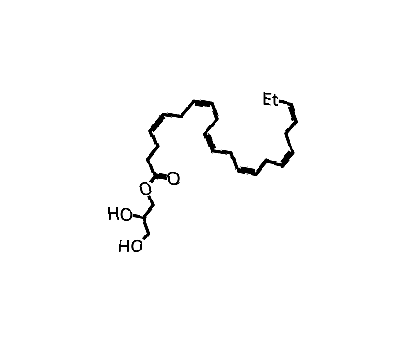 CC/C=C\C/C=C\C/C=C\C/C=C\C/C=C\C/C=C\CCC(=O)OCC(O)CO